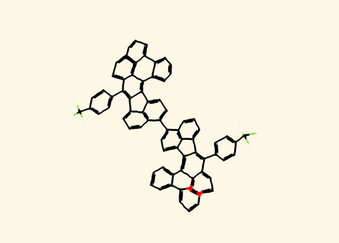 FC(F)(F)c1ccc(-c2c3c(c(-c4ccccc4-c4ccccc4)c4ccccc24)-c2ccc(-c4ccc5c6c(cccc46)-c4c-5c(-c5ccccc5-c5ccccc5)c5ccccc5c4-c4ccc(C(F)(F)F)cc4)c4cccc-3c24)cc1